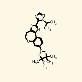 CC(C)n1ncnc1-c1nc2c(s1)CCOc1cc(B3OC(C)(C)C(C)(C)O3)ccc1-2